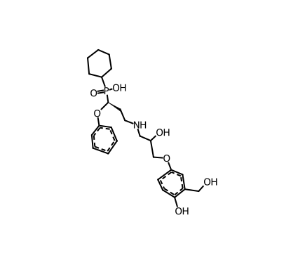 O=P(O)(C1CCCCC1)[C@@H](CCNCC(O)COc1ccc(O)c(CO)c1)Oc1ccccc1